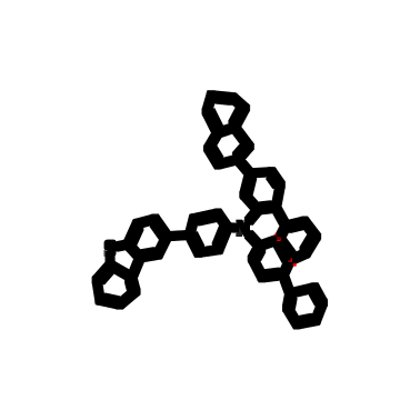 c1ccc(-c2ccc(N(c3ccc(-c4ccc5sc6ccccc6c5c4)cc3)c3cc(-c4ccc5ccccc5c4)ccc3-c3ccccc3)cc2)cc1